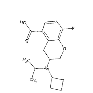 CC(C)[As](C1CCC1)C1COc2c(F)ccc(C(=O)O)c2C1